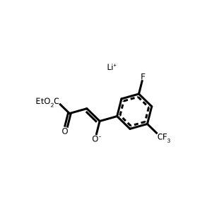 CCOC(=O)C(=O)C=C([O-])c1cc(F)cc(C(F)(F)F)c1.[Li+]